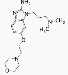 CN(C)CCCn1c(N)nc2ccc(OCCN3CCOCC3)cc21